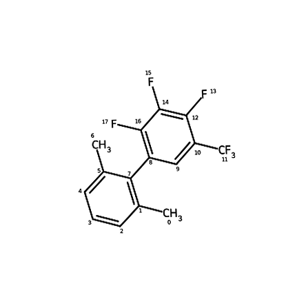 Cc1cccc(C)c1-c1cc(C(F)(F)F)c(F)c(F)c1F